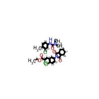 CCOC(=O)/C(Cl)=C/c1cc(N2C(=O)C3=C(CCCC3)C2=O)ccc1Cl.Cc1ccc(NC(=O)N(C)C)cc1Cl